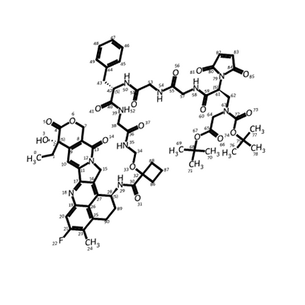 CC[C@@]1(O)C(=O)OCc2c1cc1n(c2=O)Cc2c-1nc1cc(F)c(C)c3c1c2[C@@H](NC(=O)C1(OCNC(=O)CNC(=O)[C@H](Cc2ccccc2)NC(=O)CNC(=O)CNC(=O)[C@H](CN(CC(=O)OC(C)(C)C)C(=O)OC(C)(C)C)N2C(=O)C=CC2=O)CCC1)CC3